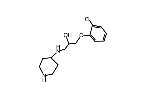 OC(CNC1CCNCC1)COc1ccccc1Cl